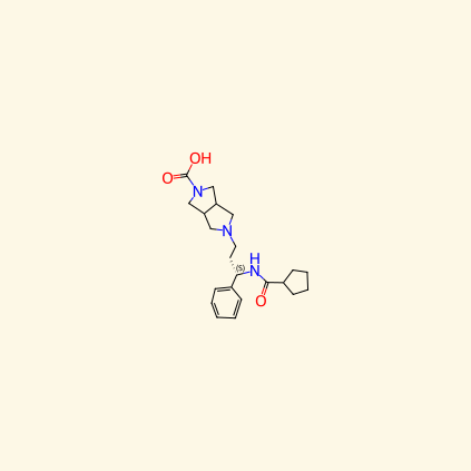 O=C(N[C@@H](CCN1CC2CN(C(=O)O)CC2C1)c1ccccc1)C1CCCC1